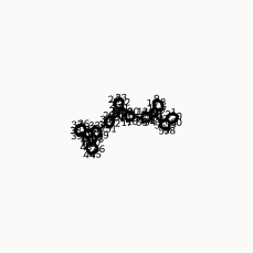 c1ccc2c(-n3c4ccccc4c4cc(-c5ccc6c(c5)c5ccccc5n6-c5ccc(-c6cc7c8ccccc8n8c9ccccc9c(c6)c78)cc5)ccc43)cccc2c1